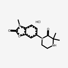 Cl.Cn1c(=O)oc2cc(N3CCNC(C)(C)C3=O)ccc21